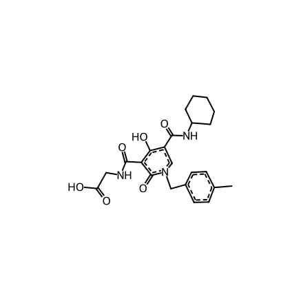 Cc1ccc(Cn2cc(C(=O)NC3CCCCC3)c(O)c(C(=O)NCC(=O)O)c2=O)cc1